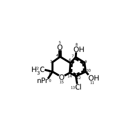 CCCC1(C)CC(=O)c2c(O)cc(O)c(Cl)c2O1